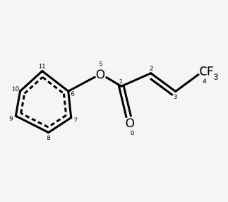 O=C(C=CC(F)(F)F)Oc1ccccc1